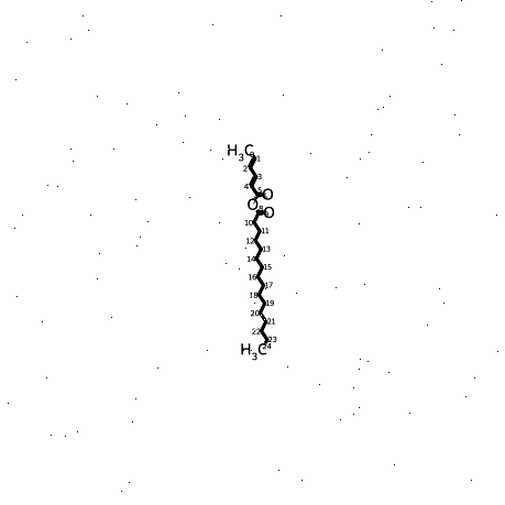 C/C=C/C=C/C(=O)OC(=O)CCCCCCCCCCCCCCC